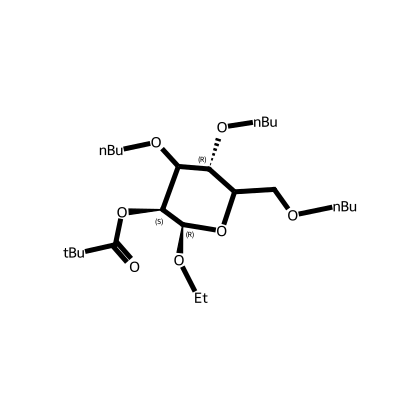 CCCCOCC1O[C@@H](OCC)[C@@H](OC(=O)C(C)(C)C)C(OCCCC)[C@@H]1OCCCC